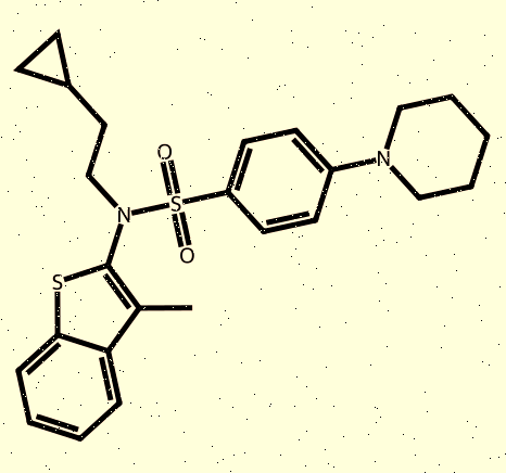 Cc1c(N(CCC2CC2)S(=O)(=O)c2ccc(N3CCCCC3)cc2)sc2ccccc12